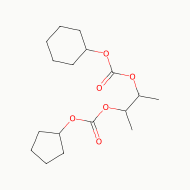 C[C](OC(=O)OC1CCCCC1)C(C)OC(=O)OC1CCCC1